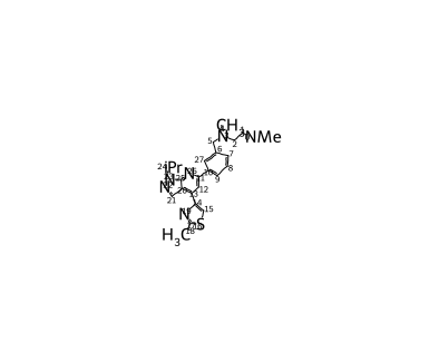 CNCCN(C)Cc1cccc(-c2cc(-c3csc(C)n3)c3cnn(C(C)C)c3n2)c1